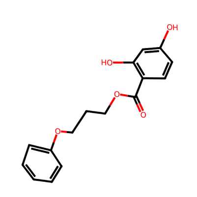 O=C(OCCCOc1ccccc1)c1ccc(O)cc1O